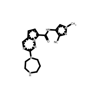 Cn1cc(NC(=O)c2ccc3cnc(N4CCCNCC4)nn23)c(C#N)n1